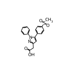 CS(=O)(=O)c1ccc(-c2cc(CC(=O)O)nn2-c2ccccc2)cc1